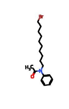 CC(=O)N(CCCCCCCCCCBr)c1ccccc1